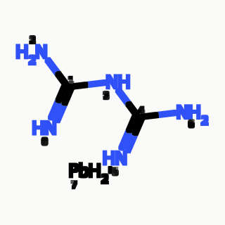 N=C(N)NC(=N)N.[PbH2]